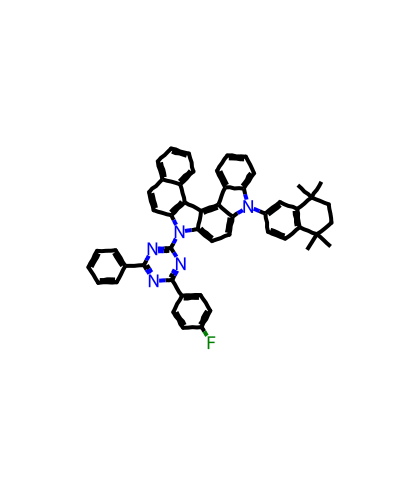 CC1(C)CCC(C)(C)c2cc(-n3c4ccccc4c4c5c6c7ccccc7ccc6n(-c6nc(-c7ccccc7)nc(-c7ccc(F)cc7)n6)c5ccc43)ccc21